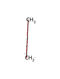 [CH2]CCCC[CH]CCCCCCCCCCCCCCCCCCCCCCCCCCCCCCCCCCCCCCCCCCCCCC